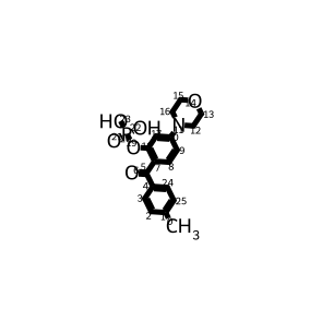 Cc1ccc(C(=O)c2ccc(N3CCOCC3)cc2OP(=O)(O)O)cc1